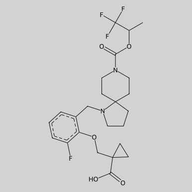 CC(OC(=O)N1CCC2(CCCN2Cc2cccc(F)c2OCC2(C(=O)O)CC2)CC1)C(F)(F)F